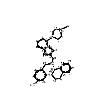 CN1CCN(c2cccc3nc(CN(Cc4ccc(F)cc4)[C@H]4CCCc5cccnc54)cn23)CC1